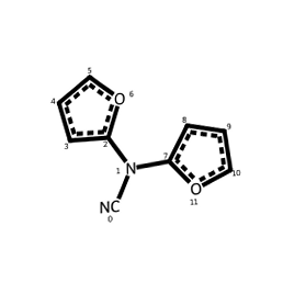 N#CN(c1ccco1)c1ccco1